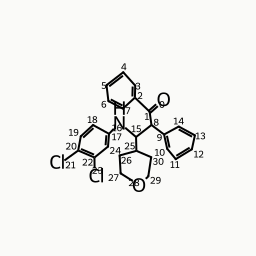 O=C(c1ccccc1)C(c1ccccc1)C(Nc1ccc(Cl)c(Cl)c1)C1CCOCC1